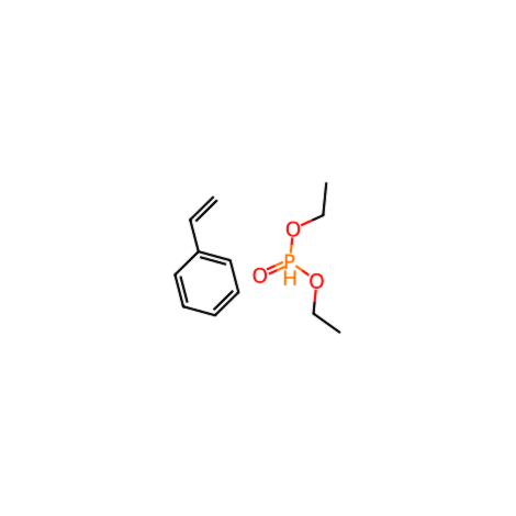 C=Cc1ccccc1.CCO[PH](=O)OCC